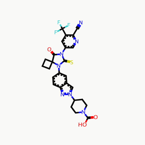 N#Cc1ncc(N2C(=O)C3(CCC3)N(c3ccc4nn(C5CCN(C(=O)O)CC5)cc4c3)C2=S)cc1C(F)(F)F